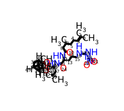 CC(C)=CCC[C@@H](C)CC(=O)N[C@@H](CCCNC1NN1[N+](=O)[O-])C(=O)N[C@@H](CC(C)C)B1O[C@@H]2C[C@@H]3C[C@@H](C3(C)C)[C@]2(C)O1